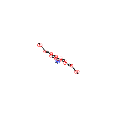 C=CC(=O)OCCCCCCOc1ccc(CCC(=O)O[C@H]2CC[C@H](C(=O)Oc3ccc(OC(=O)[C@H]4CC[C@H](OC(=O)CCc5ccc(OCCCCCCOC(=O)C=C)cc5)CC4)c4nc(C)c(C)nc34)CC2)cc1